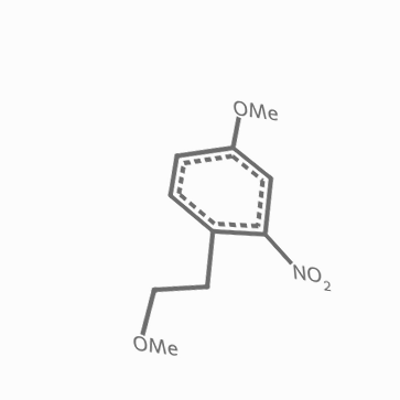 COCCc1ccc(OC)cc1[N+](=O)[O-]